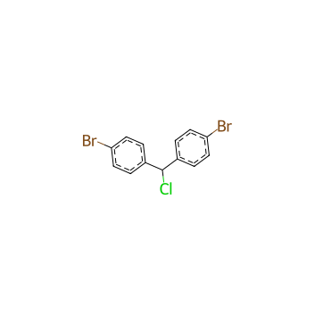 ClC(c1ccc(Br)cc1)c1ccc(Br)cc1